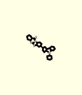 S=c1c2ccccc2nc2sc3cc(-c4ccc5c(c4)c4ccccc4n5-c4ccccc4)ccc3n12